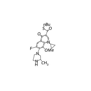 CCCCSC(=O)c1cn(C2CC2)c2c(OC)c(N3CCNC(C)C3)c(F)cc2c1=O